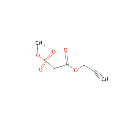 C#CCOC(=O)CS(=O)(=O)OC